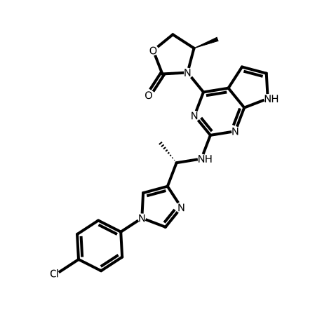 C[C@H](Nc1nc(N2C(=O)OC[C@H]2C)c2cc[nH]c2n1)c1cn(-c2ccc(Cl)cc2)cn1